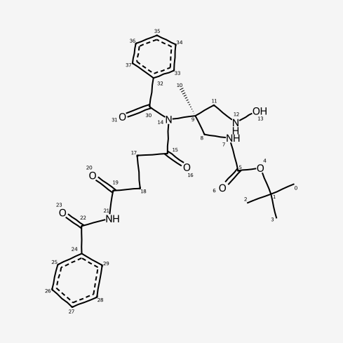 CC(C)(C)OC(=O)NC[C@](C)(CNO)N(C(=O)CCC(=O)NC(=O)c1ccccc1)C(=O)c1ccccc1